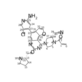 C=CC(=O)N1CCN(c2nc(OC[C@@H]3CCCN3C)nc3cc(-c4cc(N)ncc4Cl)c4ccoc4c23)C[C@@H]1CC#N